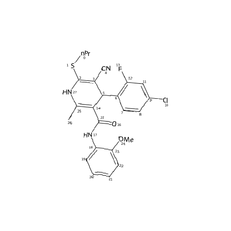 CCCSC1=C(C#N)C(c2ccc(Cl)cc2F)C(C(=O)Nc2ccccc2OC)=C(C)N1